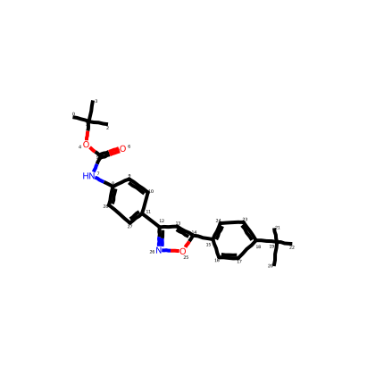 CC(C)(C)OC(=O)Nc1ccc(-c2cc(-c3ccc(C(C)(C)C)cc3)on2)cc1